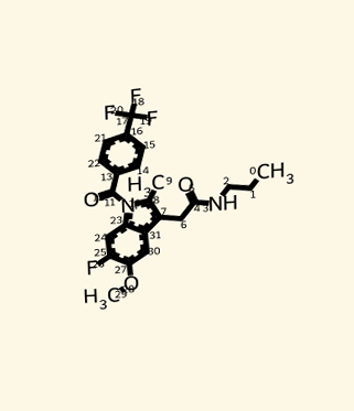 CCCNC(=O)Cc1c(C)n(C(=O)c2ccc(C(F)(F)F)cc2)c2cc(F)c(OC)cc12